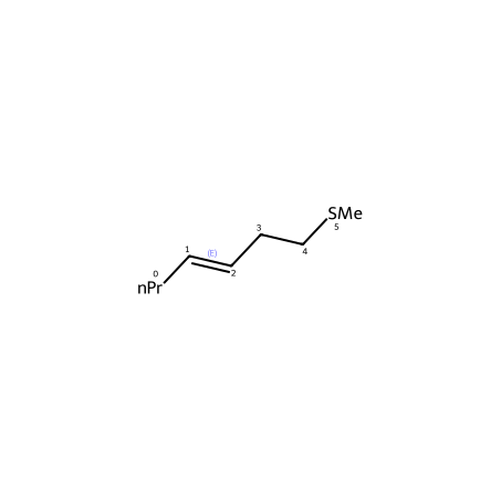 [CH2]CC/C=C/CCSC